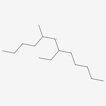 CCCCCC([CH]C(C)CCCC)CC